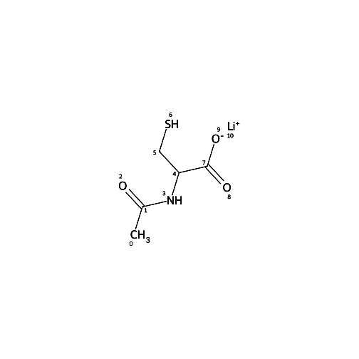 CC(=O)NC(CS)C(=O)[O-].[Li+]